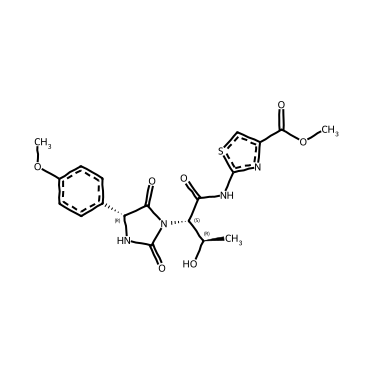 COC(=O)c1csc(NC(=O)[C@H]([C@@H](C)O)N2C(=O)N[C@H](c3ccc(OC)cc3)C2=O)n1